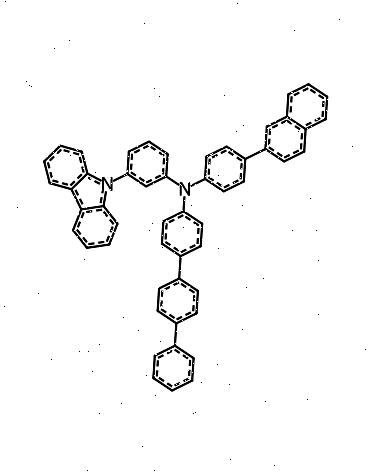 c1ccc(-c2ccc(-c3ccc(N(c4ccc(-c5ccc6ccccc6c5)cc4)c4cccc(-n5c6ccccc6c6ccccc65)c4)cc3)cc2)cc1